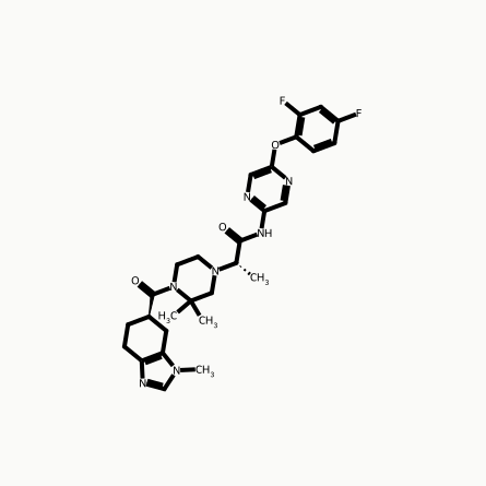 C[C@@H](C(=O)Nc1cnc(Oc2ccc(F)cc2F)cn1)N1CCN(C(=O)[C@@H]2CCc3ncn(C)c3C2)C(C)(C)C1